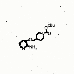 CC(C)(C)OC(=O)N1CCC(COc2cccnc2N)CC1